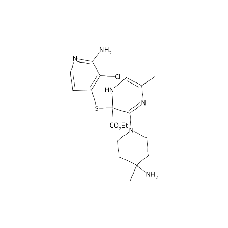 CCOC(=O)C1(Sc2ccnc(N)c2Cl)NC=C(C)N=C1N1CCC(C)(N)CC1